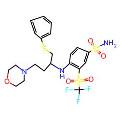 NS(=O)(=O)c1ccc(NC(CCN2CCOCC2)CSc2ccccc2)c(S(=O)(=O)C(F)(F)F)c1